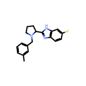 Cc1cccc(CN2CCCC2c2nc3ccc(F)cc3[nH]2)c1